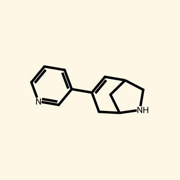 C1=C(c2cccnc2)CC2CC1CN2